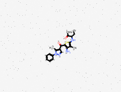 COC(=O)C(CC(C)C)Nc1sc(C(=O)c2cnn(-c3ccccc3)c2C)c(N)c1C#N